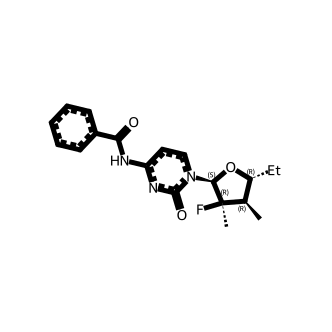 CC[C@H]1O[C@H](n2ccc(NC(=O)c3ccccc3)nc2=O)[C@](C)(F)[C@@H]1C